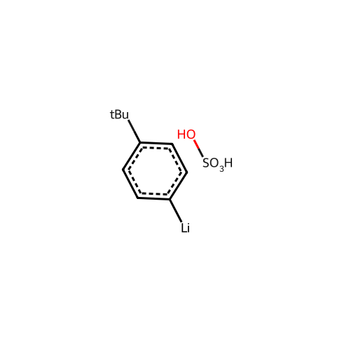 O=S(=O)(O)O.[Li][c]1ccc(C(C)(C)C)cc1